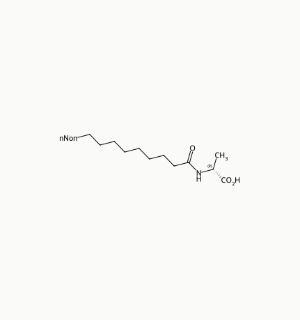 CCCCCCCCCCCCCCCCCC(=O)N[C@H](C)C(=O)O